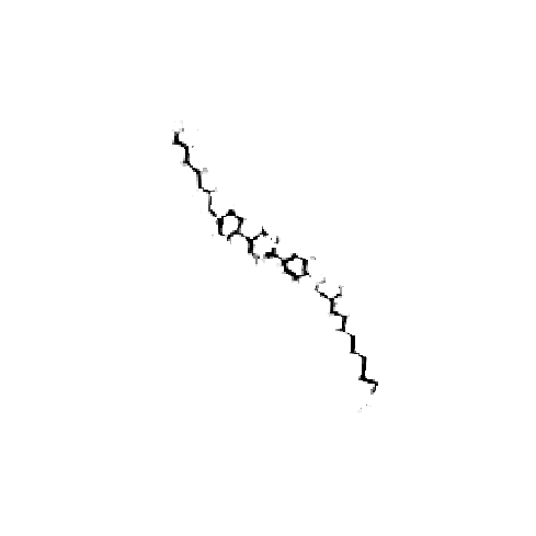 CCCCCCCCCC(F)COc1ccc(-c2ncc(-c3ccc(CCCCCCCC)cc3)cn2)cc1